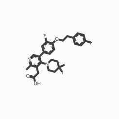 Cc1ncc(-c2ccc(OCCc3ccc(F)cc3)c(F)c2)c(N2CCC(C)(I)CC2)c1CC(=O)O